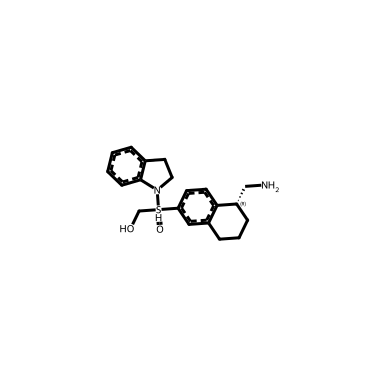 NC[C@@H]1CCCc2cc([SH](=O)(CO)N3CCc4ccccc43)ccc21